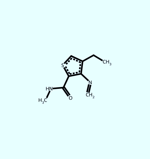 C=Nc1c(CC)csc1C(=O)NC